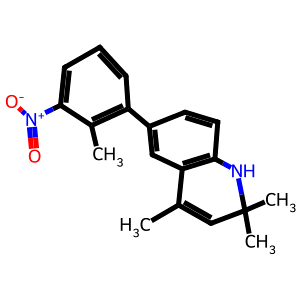 CC1=CC(C)(C)Nc2ccc(-c3cccc([N+](=O)[O-])c3C)cc21